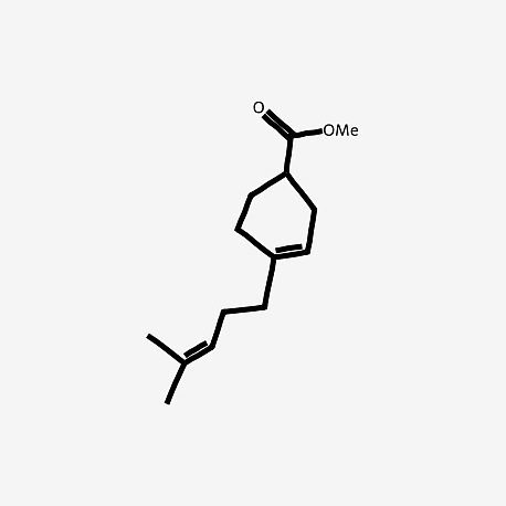 COC(=O)C1CC=C(CCC=C(C)C)CC1